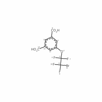 O=C(O)c1cc(OC(F)(F)C(F)(F)Br)cc(C(=O)O)c1